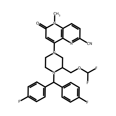 Cn1c(=O)cc(N2CCN(C(c3ccc(F)cc3)c3ccc(F)cc3)C(COC(F)F)C2)c2nc(C#N)ccc21